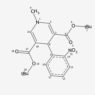 CN1C=C(C(=O)OC(C)(C)C)C(c2ccccc2[N+](=O)[O-])C(C(=O)OC(C)(C)C)=C1